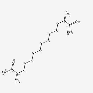 C=C(CCCCCCCCCCC(=C)C(N)=O)C(N)=O